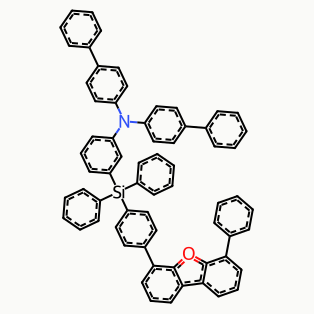 c1ccc(-c2ccc(N(c3ccc(-c4ccccc4)cc3)c3cccc([Si](c4ccccc4)(c4ccccc4)c4ccc(-c5cccc6c5oc5c(-c7ccccc7)cccc56)cc4)c3)cc2)cc1